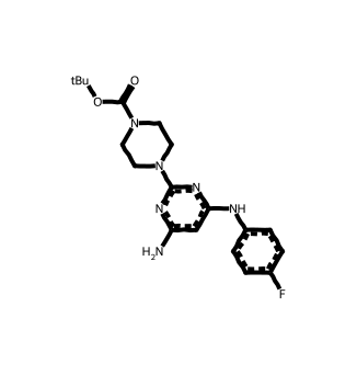 CC(C)(C)OC(=O)N1CCN(c2nc(N)cc(Nc3ccc(F)cc3)n2)CC1